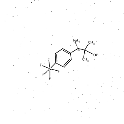 CC(C)(O)[C@@H](N)c1ccc(S(F)(F)(F)(F)F)cc1